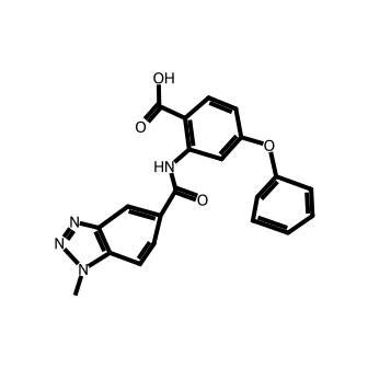 Cn1nnc2cc(C(=O)Nc3cc(Oc4ccccc4)ccc3C(=O)O)ccc21